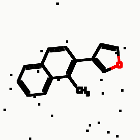 Cc1c(-c2ccoc2)ccc2ccccc12